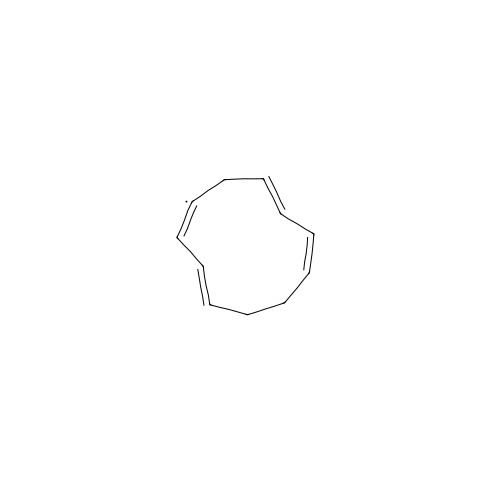 [C]1=C\C=C\CC/C=C\C=C\C/1